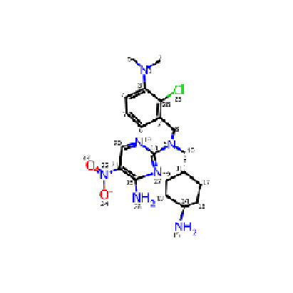 CN(C)c1cccc(CN(C[C@H]2CC[C@H](N)CC2)c2ncc([N+](=O)[O-])c(N)n2)c1Cl